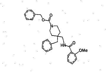 COc1ccccc1C(=O)NCC1(Cc2ccccc2)CCN(C(=O)OCc2ccccc2)CC1